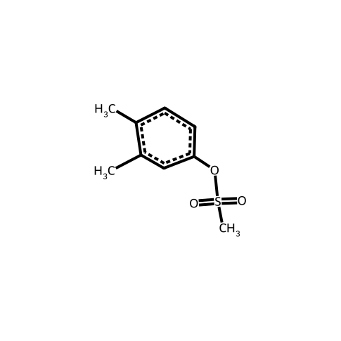 Cc1ccc(OS(C)(=O)=O)cc1C